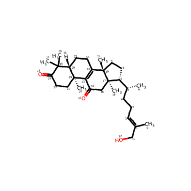 C/C(=C\CC[C@@H](C)[C@H]1CC[C@@]2(C)C3=C(C(=O)C[C@]12C)[C@@]1(C)CCC(=O)C(C)(C)[C@@H]1CC3)CO